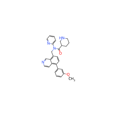 COc1cccc(-c2ccc(CN(C(=O)C3CCCNC3)c3ccccn3)c3cnccc23)c1